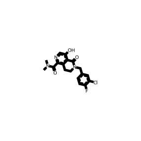 CN(C)C(=O)c1ncc(O)c2c1CCN(Cc1ccc(F)c(Cl)c1)C2=O